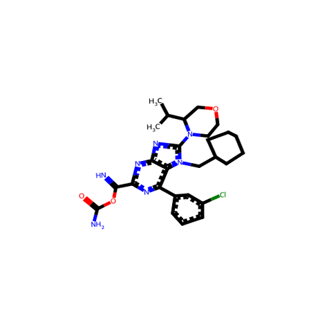 CC(C)C1COCCN1c1nc2nc(C(=N)OC(N)=O)nc(-c3cccc(Cl)c3)c2n1CC1CCCCC1